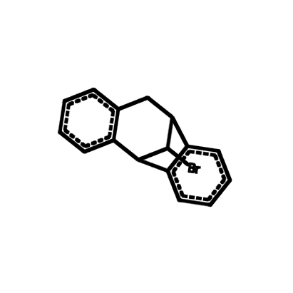 BrC1C2Cc3ccccc3C1c1ccccc12